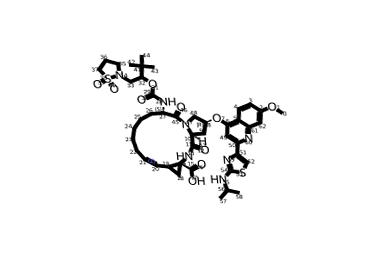 COc1ccc2c(O[C@@H]3C[C@H]4C(=O)N[C@]5(C(=O)O)CC5/C=C\CCCCC[C@H](NC(=O)OC(CN5CCCS5(=O)=O)C(C)(C)C)C(=O)N4C3)cc(-c3csc(NC(C)C)n3)nc2c1